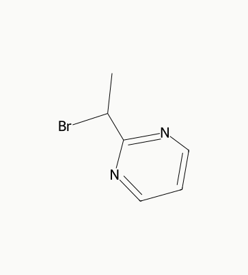 CC(Br)c1ncccn1